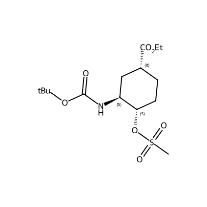 CCOC(=O)[C@@H]1CC[C@H](OS(C)(=O)=O)[C@@H](NC(=O)OC(C)(C)C)C1